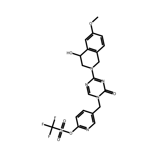 COc1ccc2c(c1)C(O)CN(c1ncn(Cc3ccc(OS(=O)(=O)C(F)(F)F)nc3)c(=O)n1)C2